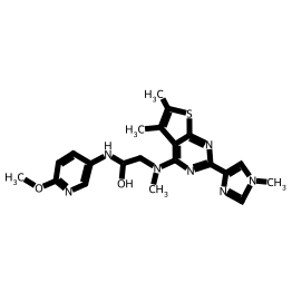 COc1ccc(NC(O)CN(C)c2nc(-c3cn(C)cn3)nc3sc(C)c(C)c23)cn1